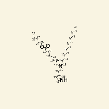 CCCCCCCCCCCCCCN(CCCCCCCC(=O)OCCCCC)CCC1CCNC1